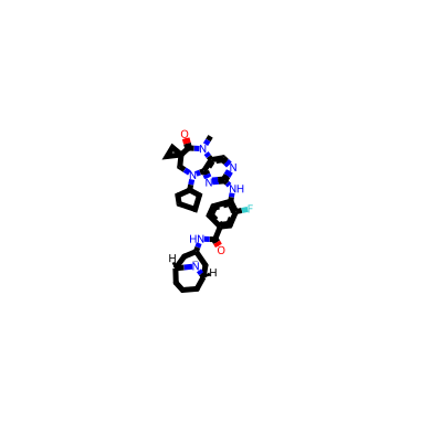 CN1C(=O)C2(CC2)CN(C2CCCC2)c2nc(Nc3ccc(C(=O)NC4C[C@H]5CCC[C@@H](C4)N5C)cc3F)ncc21